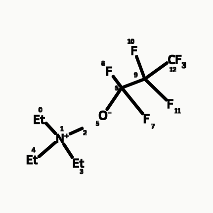 CC[N+](C)(CC)CC.[O-]C(F)(F)C(F)(F)C(F)(F)F